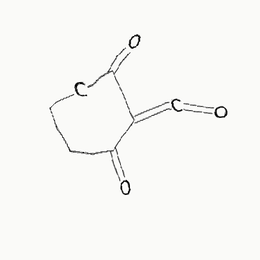 O=C=C1C(=O)CCCC1=O